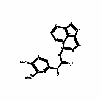 COc1ccc(N(C)C(=N)Nc2ccc3c4c(cccc24)C=C3)cc1OC